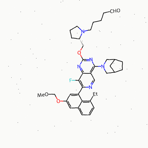 CCc1cccc2cc(OCOC)cc(-c3ncc4c(N5CC6CCC(C6)C5)nc(OC[C@@H]5CCCN5CCCCC=O)nc4c3F)c12